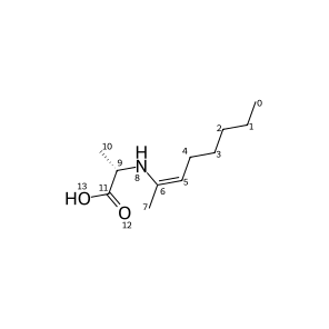 CCCCCC=C(C)N[C@@H](C)C(=O)O